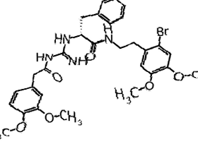 COc1ccc(CC(=O)NC(=N)N[C@H](Cc2ccccc2)C(=O)NCCc2cc(OC)c(OC)cc2Br)cc1OC